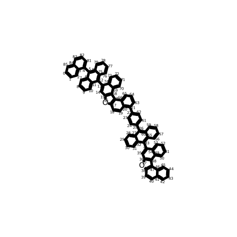 c1ccc2c(-c3c4ccccc4c(-c4cc5oc6ccc7c(-c8ccc(-c9c%10ccccc%10c(-c%10cc%11oc%12ccc%13ccccc%13c%12c%11c%11ccccc%10%11)c%10ccccc9%10)cc8)cccc7c6c5c5ccccc45)c4ccccc34)cccc2c1